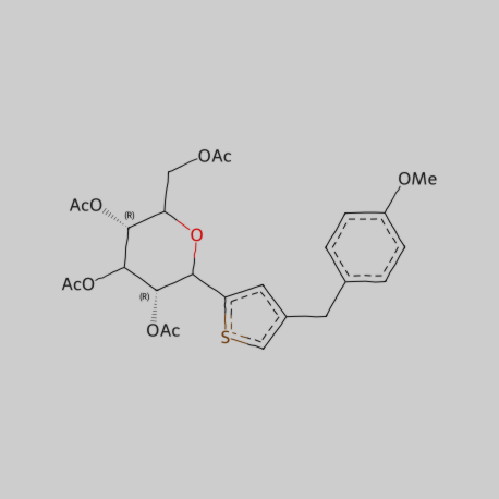 COc1ccc(Cc2csc(C3OC(COC(C)=O)[C@@H](OC(C)=O)C(OC(C)=O)[C@H]3OC(C)=O)c2)cc1